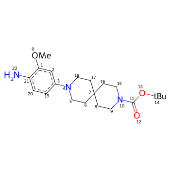 COc1cc(N2CCC3(CCN(C(=O)OC(C)(C)C)CC3)CC2)ccc1N